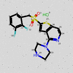 Cl.O=S(=O)(Cc1cccc(F)c1F)c1cc2c(N3CCNCC3)nccc2s1